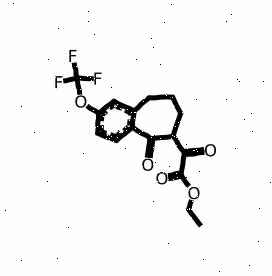 CCOC(=O)C(=O)C1CCCc2cc(OC(F)(F)F)ccc2C1=O